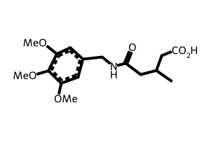 COc1cc(CNC(=O)CC(C)CC(=O)O)cc(OC)c1OC